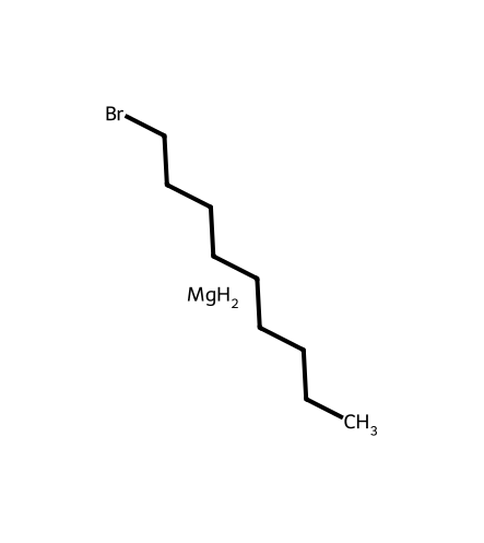 CCCCCCCCCBr.[MgH2]